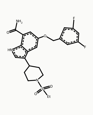 CCS(=O)(=O)N1CCC(c2c[nH]c3c(C(N)=O)cc(OCc4cc(F)cc(F)c4)cc23)CC1